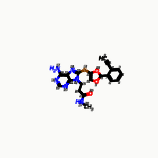 C#Cc1ccccc1C1OC=C(Sc2nc3c(N)ncnc3n2CCC(=O)NC)O1